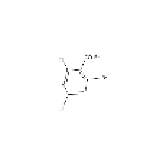 CCOC(=O)c1c(Br)cc(Cl)nc1Cl